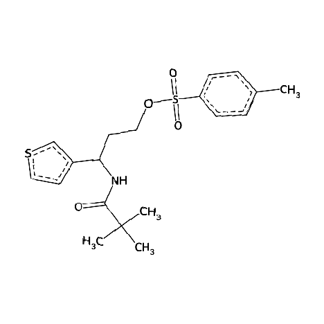 Cc1ccc(S(=O)(=O)OCCC(NC(=O)C(C)(C)C)c2ccsc2)cc1